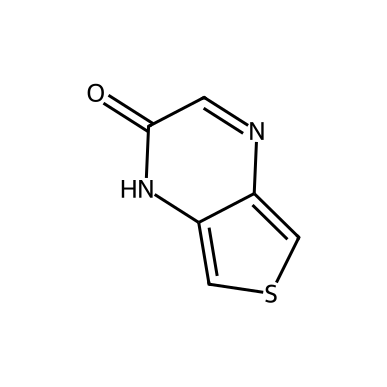 O=c1cnc2cscc2[nH]1